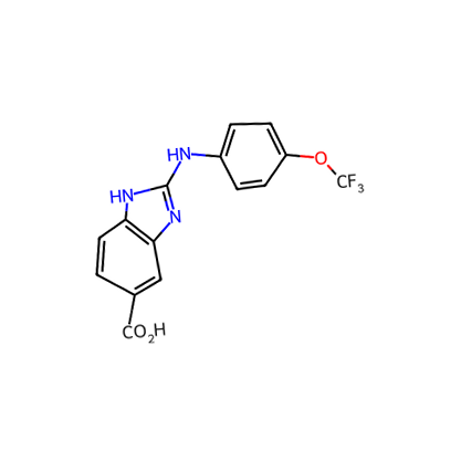 O=C(O)c1ccc2[nH]c(Nc3ccc(OC(F)(F)F)cc3)nc2c1